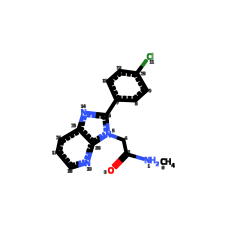 C.NC(=O)Cn1c(-c2ccc(Cl)cc2)nc2cccnc21